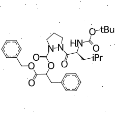 CC(C)C[C@H](NC(=O)OC(C)(C)C)C(=O)N1CCCN1C(=O)OC(Cc1ccccc1)C(=O)OCc1ccccc1